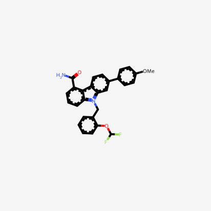 COc1ccc(-c2c[c]c3c4c(C(N)=O)cccc4n(Cc4ccccc4OC(F)F)c3c2)cc1